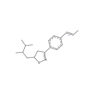 C/C=C/c1ccc(C2=NOC(CC(C)C(C)C)C2)cc1